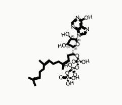 CC(C)=CCCC(C)=CCCC(C)=CCC(OP(=O)(O)OP(=O)(O)OP(=O)(O)O)[C@H]1O[C@@H](n2cnc3c(O)ncnc32)[C@H](O)[C@@H]1O